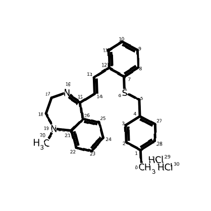 Cc1ccc(CSc2ccccc2C=CC2=NCCN(C)c3ccccc32)cc1.Cl.Cl